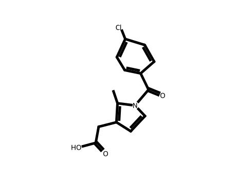 Cc1c(CC(=O)O)ccn1C(=O)c1ccc(Cl)cc1